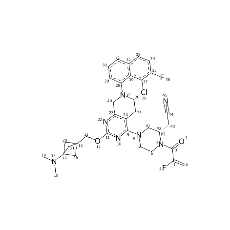 C=C(F)C(=O)N1CCN(c2nc(OCC34CC(N(C)C)(C3)C4)nc3c2CCN(c2cccc4ccc(F)c(Cl)c24)C3)C[C@@H]1CC#N